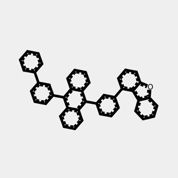 c1ccc(-c2cccc(-c3c4ccccc4c(-c4cccc(-c5cccc6oc7ccccc7c56)c4)c4ccccc34)c2)cc1